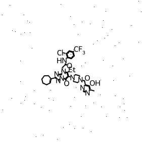 CCc1c(N2CCN(C(=O)c3ncnc(C)c3O)CC2)c(=O)n2nc(C3=CCCCCC3)nc2n1CC(=O)Nc1ccc(C(F)(F)F)cc1Cl